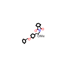 COC(Cc1ccc(OCc2ccccc2)cc1)CN1C(=O)c2ccccc2C1=O